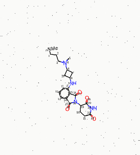 CNCCCN(C)C1CC(Nc2cccc3c2C(=O)N(C2CCC(=O)NC2=O)C3=O)C1